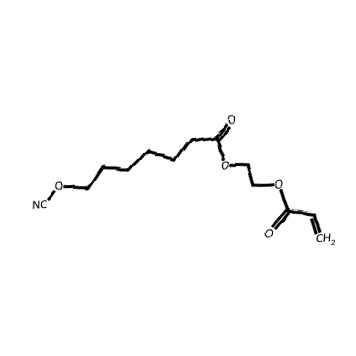 C=CC(=O)OCCOC(=O)CCCCCCOC#N